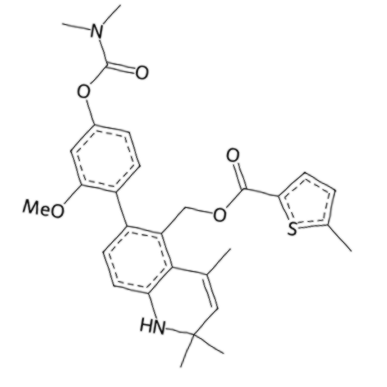 COc1cc(OC(=O)N(C)C)ccc1-c1ccc2c(c1COC(=O)c1ccc(C)s1)C(C)=CC(C)(C)N2